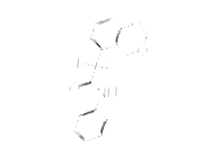 O=C(Nc1ccccc1)C(F)(F)c1cccc2c1COCO2